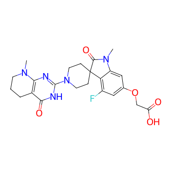 CN1CCCc2c1nc(N1CCC3(CC1)C(=O)N(C)c1cc(OCC(=O)O)cc(F)c13)[nH]c2=O